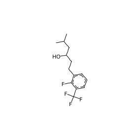 CC(C)CC(O)CCc1cccc(C(F)(F)F)c1F